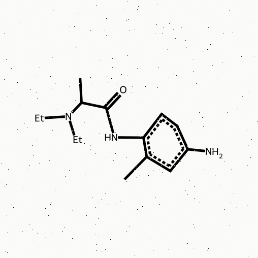 CCN(CC)C(C)C(=O)Nc1ccc(N)cc1C